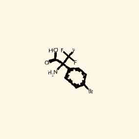 NC(C(=O)O)(c1ccc(Br)cc1)C(F)(F)F